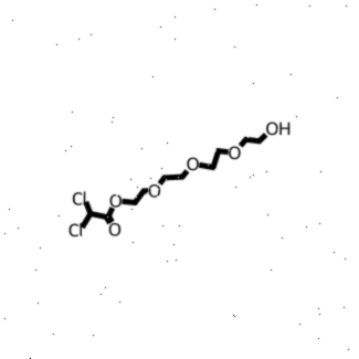 O=C(OCCOCCOCCOCCO)C(Cl)Cl